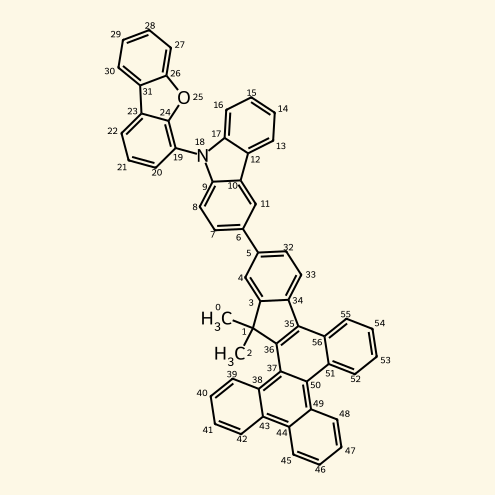 CC1(C)c2cc(-c3ccc4c(c3)c3ccccc3n4-c3cccc4c3oc3ccccc34)ccc2-c2c1c1c3ccccc3c3ccccc3c1c1ccccc21